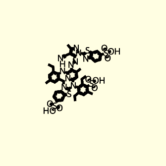 CCc1cc(C)cc(CC)c1Nc1nc(N(c2nc3ccc(S(=O)(=O)O)cc3s2)c2c(CC)cc(C)c(S(=O)(=O)O)c2CC)cc(C)c1N=Nc1c(C#N)c(C)nn1-c1nc2ccc(S(=O)(=O)O)cc2s1